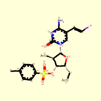 CC(=O)OC[C@H]1O[C@@H](n2cc(/C=C/I)c(N)nc2=O)[C@H](OC(C)=O)[C@H]1OS(=O)(=O)c1ccc(C)cc1